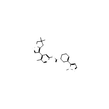 Cn1nccc1C1=CCC[C@H](C(=O)Nc2cc(-c3cnn4c3CC(C)(C)C4)c(Cl)cn2)C1